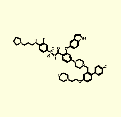 Cc1cc(S(=O)(=O)NC(=O)c2ccc(N3CCN(Cc4cc(OCCN5CCOCC5)ccc4-c4ccc(Cl)cc4)CC3)cc2Oc2ccc3[nH]ccc3c2)ccc1NCCCN1CCCC1